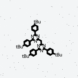 CC(C)(C)c1ccc(-c2nc(Cc3nc(-c4ccc(C(C)(C)C)cc4)nc(-c4ccc(C(C)(C)C)cc4)n3)nc(-c3ccc(C(C)(C)C)cc3)n2)cc1